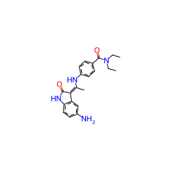 CCN(CC)C(=O)c1ccc(N/C(C)=C2\C(=O)Nc3ccc(N)cc32)cc1